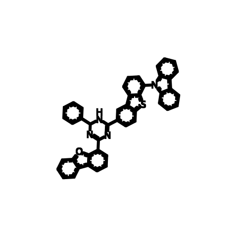 c1ccc(C2N=C(c3cccc4c3oc3ccccc34)N=C(c3ccc4sc5c(-n6c7ccccc7c7ccccc76)cccc5c4c3)N2)cc1